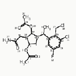 CC(=O)OC1CN(C(C)c2cc(F)cc(Cl)c2CCl)C(OC(C)=O)N1CC(N)=O